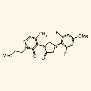 COCCn1ncc(C)c(N2C[C@@H](c3c(F)cc(OC)cc3F)CC2=O)c1=O